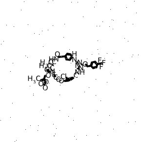 Cc1oc(=O)oc1COC(=O)N1CCCOc2ccc(cc2Cl)CNc2nc(nc(OCc3ccc(C(F)(F)F)cc3)n2)Nc2ccc(cc2)C(=O)NCC(C)(C)C1